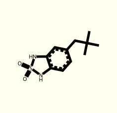 CC(C)(C)Cc1ccc2c(c1)NS(=O)(=O)N2